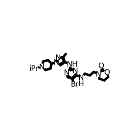 Cc1nn(C2CCN(C(C)C)CC2)cc1Nc1ncc(Br)c(NCCCN2CCCOC2=O)n1